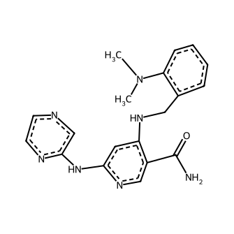 CN(C)c1ccccc1CNc1cc(Nc2cnccn2)ncc1C(N)=O